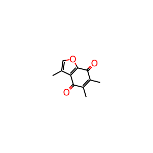 CC1=C(C)C(=O)c2c(C)coc2C1=O